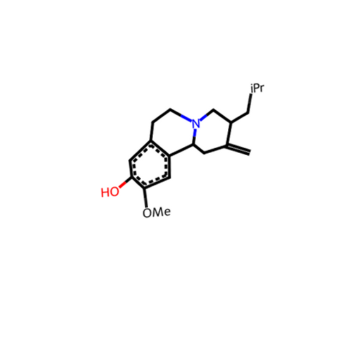 C=C1CC2c3cc(OC)c(O)cc3CCN2CC1CC(C)C